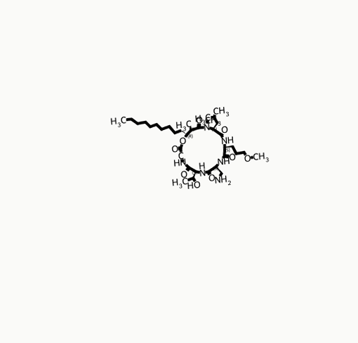 CCCCCCCCCC[C@H]1OC(=O)CNC(=O)[C@H](C(C)O)NC(=O)[C@H](CN)NC(=O)[C@H](CCCOC)NC(=O)[C@H](CC(C)C)N(C)C(=O)[C@@H]1C